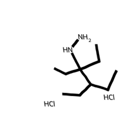 CCC(CC)C(CC)(CC)NN.Cl.Cl